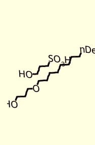 CCCCCCCCCCCCCCCCCCOCCCO.O=S(=O)(O)CCCO